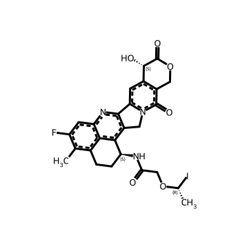 Cc1c(F)cc2nc3c(c4c2c1CC[C@@H]4NC(=O)CO[C@@H](C)I)Cn1c-3cc2c(c1=O)COC(=O)[C@H]2O